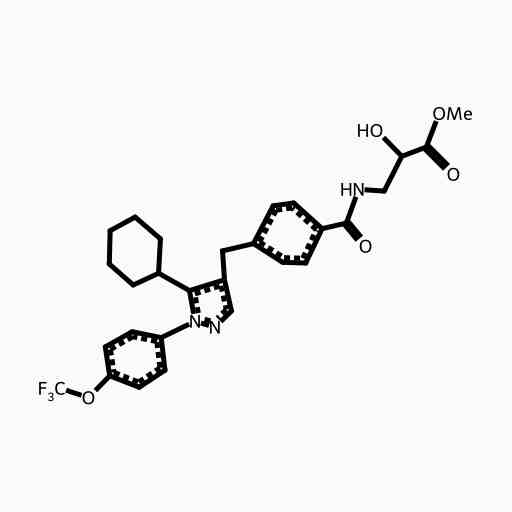 COC(=O)C(O)CNC(=O)c1ccc(Cc2cnn(-c3ccc(OC(F)(F)F)cc3)c2C2CCCCC2)cc1